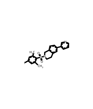 Cc1cc(I)cc(C)c1S(=O)(=O)N1CCc2cc(-c3cccnc3)ccc2C1